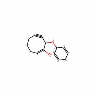 O/C1=C/CCCC#CC1OC1C=CCC=C1